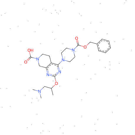 CC(CN(C)C)Oc1nc2c(c(N3CCN(C(=O)OCc4ccccc4)CC3)n1)CCN(C(=O)O)C2